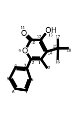 Cc1c(-c2ccccc2)oc(=O)c(O)c1C(C)(C)C